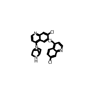 Clc1ccc2c(Cl)ccnc2c1.Clc1ccc2c(N3CC4CC3CN4)ccnc2c1